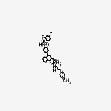 C=C(/N=C1\C(=C/N)CC(c2ccc(NS(=O)(=O)c3ccc(F)cc3F)cc2)c2ccccc21)NCCCN1CCN(C)CC1